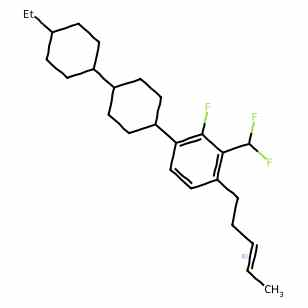 C/C=C/CCc1ccc(C2CCC(C3CCC(CC)CC3)CC2)c(F)c1C(F)F